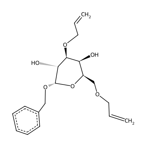 C=CCOC[C@H]1O[C@H](OCc2ccccc2)[C@H](O)[C@@H](OCC=C)[C@H]1O